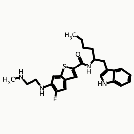 CCCCC(Cc1c[nH]c2ccccc12)NC(=O)c1cc2cc(F)c(NCCNC)cc2s1